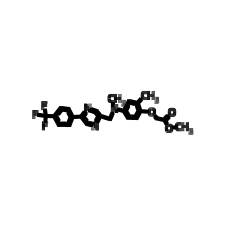 COC(=O)COc1ccc(N(C)Cc2cnc(-c3ccc(C(F)(F)F)cc3)cn2)cc1C